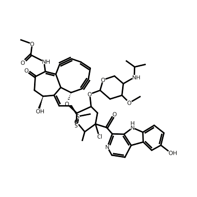 COC(=O)NC1=C2C#C/C=C\C#C[C@H](OC3OC(C)C(Cl)(C(=O)c4nccc5c4[nH]c4ccc(O)cc45)CC3OC3CC(OC)C(NC(C)C)CO3)C2/C(=C\CS(C)=S)[C@@H](O)CC1=O